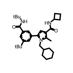 Cc1c(C(=O)NC2CCC2)cc(-c2cc(C(=O)NC(C)(C)C)cc(C(C)(C)C)c2)n1CC1CCCCC1